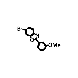 COc1cccc(-c2nc3ccc(Br)cc3o2)c1